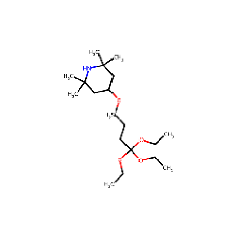 CCOC(CC[SiH2]OC1CC(C)(C)NC(C)(C)C1)(OCC)OCC